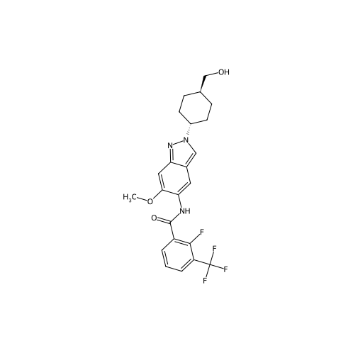 COc1cc2nn([C@H]3CC[C@H](CO)CC3)cc2cc1NC(=O)c1cccc(C(F)(F)F)c1F